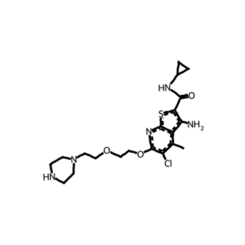 Cc1c(Cl)c(OCCOCCN2CCNCC2)nc2sc(C(=O)NC3CC3)c(N)c12